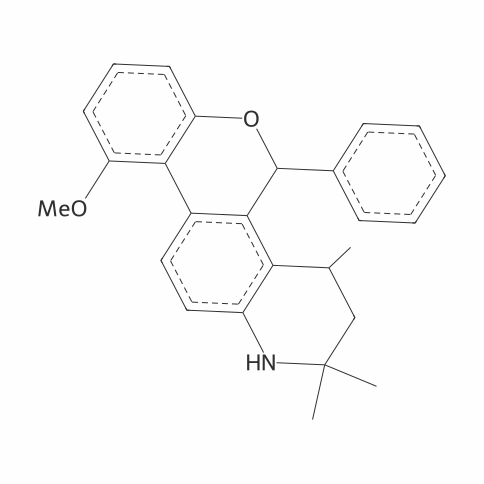 COc1cccc2c1-c1ccc3c(c1C(c1ccccc1)O2)C(C)CC(C)(C)N3